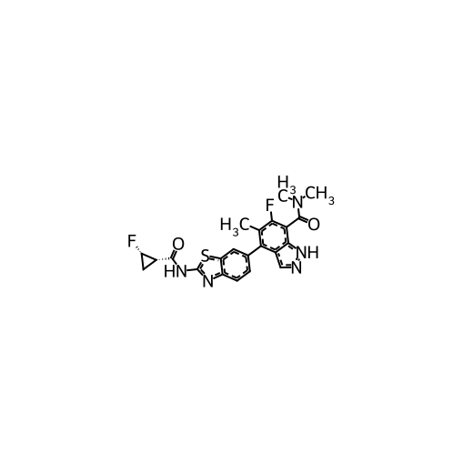 Cc1c(F)c(C(=O)N(C)C)c2[nH]ncc2c1-c1ccc2nc(NC(=O)[C@@H]3C[C@@H]3F)sc2c1